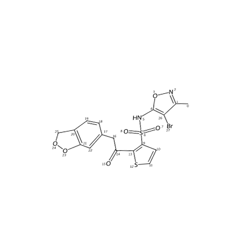 Cc1noc(NS(=O)(=O)c2ccsc2C(=O)Cc2ccc3c(c2)OOC3)c1Br